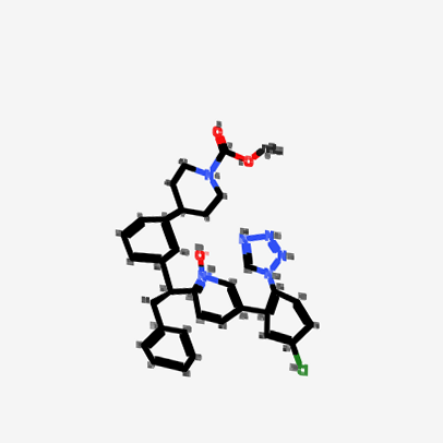 CCCCOC(=O)N1CCC(c2cccc([C@H](Cc3ccccc3)c3ccc(-c4cc(Cl)ccc4-n4cnnn4)c[n+]3[O-])c2)CC1